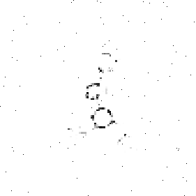 COC[C@H](C)Oc1cc(O[Si](C(C)C)(C(C)C)C(C)C)cc(-c2ccc(C(=O)N[C@H](C)[C@@H](C)O)[nH]2)c1